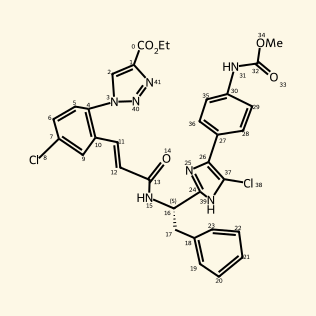 CCOC(=O)c1cn(-c2ccc(Cl)cc2C=CC(=O)N[C@@H](Cc2ccccc2)c2nc(-c3ccc(NC(=O)OC)cc3)c(Cl)[nH]2)nn1